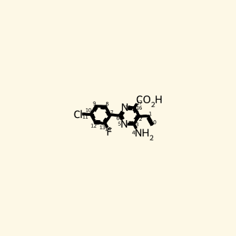 C=Cc1c(N)nc(-c2ccc(Cl)cc2F)nc1C(=O)O